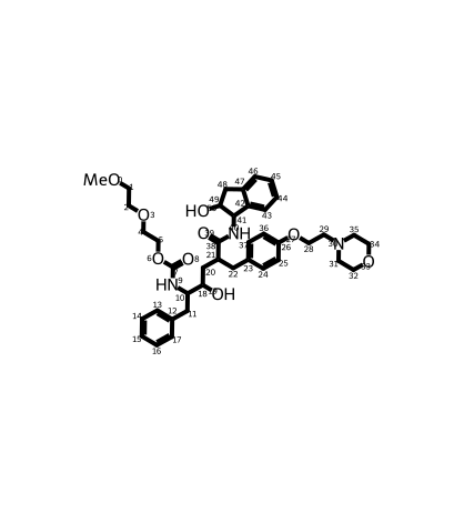 COCCOCCOC(=O)NC(Cc1ccccc1)C(O)CC(Cc1ccc(OCCN2CCOCC2)cc1)C(=O)NC1c2ccccc2CC1O